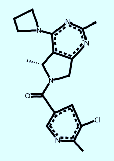 Cc1nc2c(c(N3CCC3)n1)[C@@H](C)N(C(=O)c1cnc(C)c(Cl)c1)C2